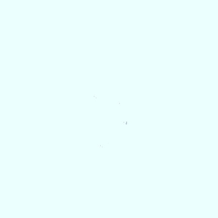 NC(=O)C1C=C(NC2COC2)N=CN1